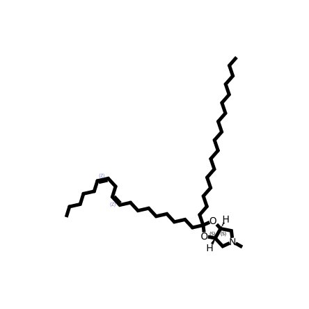 CCCCC/C=C\C/C=C\CCCCCCCCC1(CCCCCCCCCCCCCCCCCC)O[C@H]2CN(C)C[C@@H]2O1